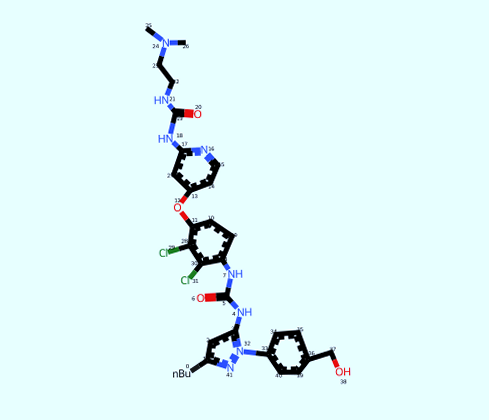 CCCCc1cc(NC(=O)Nc2ccc(Oc3ccnc(NC(=O)NCCN(C)C)c3)c(Cl)c2Cl)n(-c2ccc(CO)cc2)n1